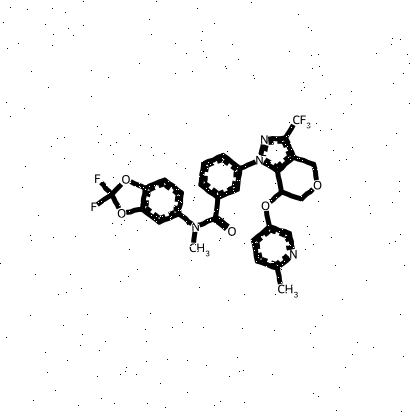 Cc1ccc(OC2COCc3c(C(F)(F)F)nn(-c4cccc(C(=O)N(C)c5ccc6c(c5)OC(F)(F)O6)c4)c32)cn1